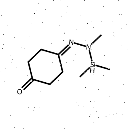 CN(N=C1CCC(=O)CC1)[SiH](C)C